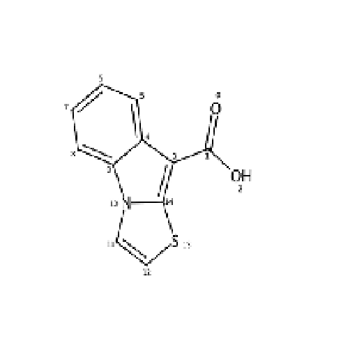 O=C(O)c1c2ccccc2n2ccsc12